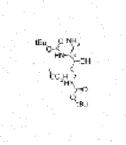 CC(=O)O.CC(C)(C)OC(=O)NCCC(O)[C@H](CN)NC(=O)OC(C)(C)C